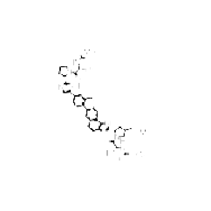 COCC1C[C@@H](c2nc3ccc4cc5c(cc4c3[nH]2)OCc2cc(-c3cnc([C@@H]4CC[C@H](C)N4C(=O)[C@@H](NC(=O)OC)C(C)C)[nH]3)ccc2-5)N(C(=O)[C@@H](NC(=O)OC)C(C)C)C1